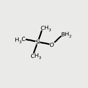 BO[Si](C)(C)C